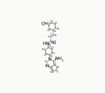 NC1=c2ccsc2=NCN1c1ccc(NC(=O)/C=C/c2cccc(Cl)c2)cc1